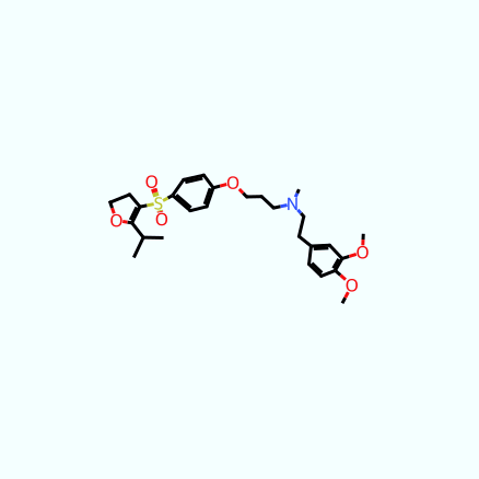 COc1ccc(CCN(C)CCCOc2ccc(S(=O)(=O)C3=C(C(C)C)OCC3)cc2)cc1OC